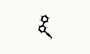 CC#Cc1cccc(-c2cc[c]cc2)c1